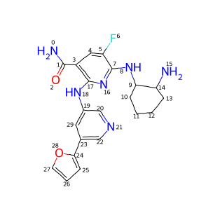 NC(=O)c1cc(F)c(NC2CCCCC2N)nc1Nc1cncc(-c2ccco2)c1